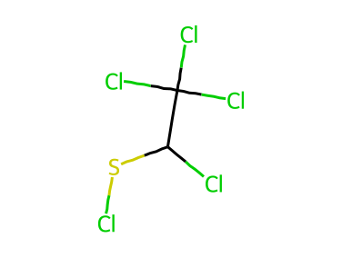 ClSC(Cl)C(Cl)(Cl)Cl